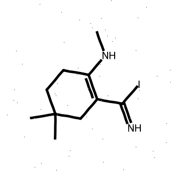 CNC1=C(C(=N)I)CC(C)(C)CC1